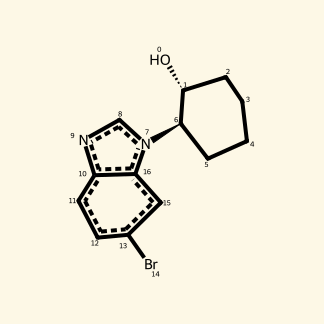 O[C@@H]1CCCC[C@H]1n1cnc2ccc(Br)cc21